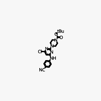 CC(C)(C)OC(=O)N1CCN(c2nc(Cl)cc(Nc3ccc(C#N)cc3)n2)CC1